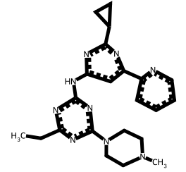 CCc1nc(Nc2cc(-c3ccccn3)nc(C3CC3)n2)nc(N2CCN(C)CC2)n1